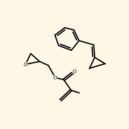 C(=C1CC1)c1ccccc1.C=C(C)C(=O)OCC1CO1